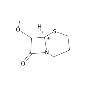 COC1C(=O)N2CCCS[C@H]12